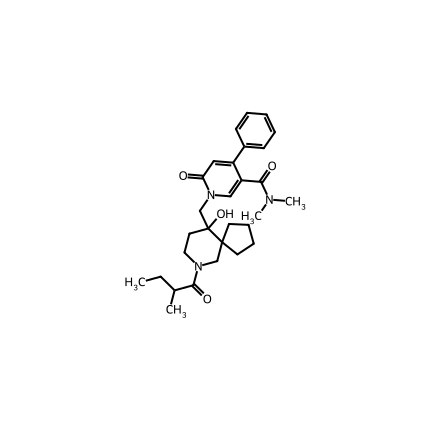 CCC(C)C(=O)N1CCC(O)(Cn2cc(C(=O)N(C)C)c(-c3ccccc3)cc2=O)C2(CCCC2)C1